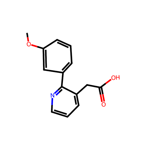 COc1cccc(-c2ncccc2CC(=O)O)c1